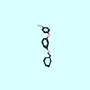 Cc1ccc(Oc2cccc(OCCC3CCCCC3)c2)cc1